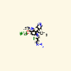 Cc1c(-c2ccncc2)c2cc(C(=O)NC(C)(C)C)ccc2n1C/C(F)=C/CN.Cl.Cl